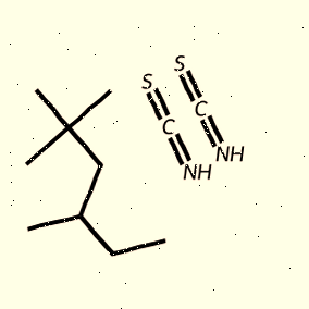 CCC(C)CC(C)(C)C.N=C=S.N=C=S